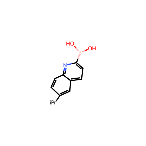 CC(C)c1ccc2nc(B(O)O)ccc2c1